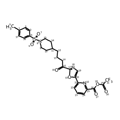 Cc1ccc(S(=O)(=O)N2CCC(CCCC(=O)c3ncc(-c4cccc(C(=O)OC(=O)C(F)(F)F)n4)o3)CC2)cc1